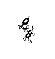 CCn1cc(OC(=O)NC(C)c2ccc(F)cc2)c2cc(OC)c(OC)cc2c1=O